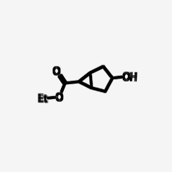 CCOC(=O)C1C2CC(O)CC21